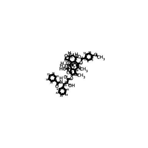 COc1ccc(C2O[C@H]3C[C@H]4OC[C@@]4(C)[C@H]4[C@H](C)[C@]5(C(C)(C)O)C[C@H](OC(=O)[C@H](O)[C@@H](NC(=O)c6ccccc6)c6ccccc6)C(C)=C5[C@H](C)[C@H](O2)[C@]34C)cc1